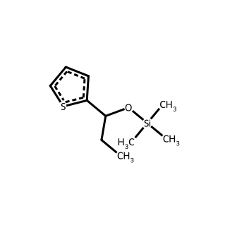 CCC(O[Si](C)(C)C)c1cccs1